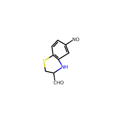 O=CC1CSc2ccc(N=O)cc2N1